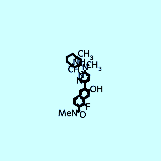 CNC(=O)c1ccc2cc(-c3ccc(N(C)[C@H]4C[C@]5(C)CCC[C@](C)(C4)N5)nn3)c(O)cc2c1F